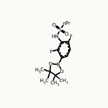 CCCS(=O)(=O)Nc1c(F)ccc(B2OC(C)(C)C(C)(C)O2)c1F